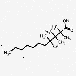 CCCCCCCC(C)(C)C(C)(C)C(C)(C)C(=O)O